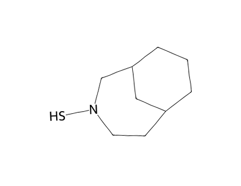 SN1CCC2CCCC(C2)C1